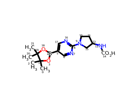 CC1(C)OB(c2cnc(N3CCC(NC(=O)O)C3)nc2)OC1(C)C